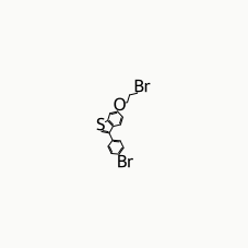 BrCCCOc1ccc2c(-c3ccc(Br)cc3)csc2c1